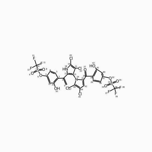 C=C(c1ccc(OS(=O)(=O)C(F)(F)F)cc1O)c1[nH]c(Cl)c(Cl)c1-n1c(C(=O)c2ccc(OS(=O)(=O)C(F)(F)F)cc2O)cc(Cl)c1Cl